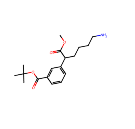 COC(=O)C(CCCCN)c1cccc(C(=O)OC(C)(C)C)c1